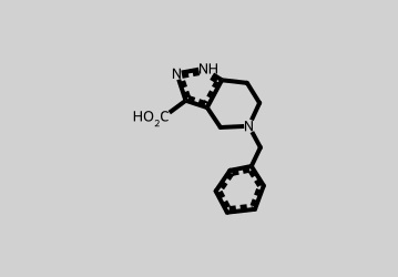 O=C(O)c1n[nH]c2c1CN(Cc1ccccc1)CC2